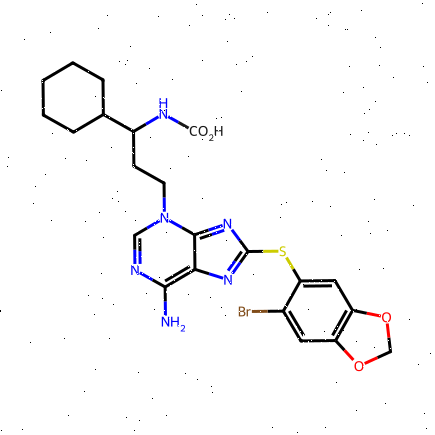 Nc1ncn(CCC(NC(=O)O)C2CCCCC2)c2nc(Sc3cc4c(cc3Br)OCO4)nc1-2